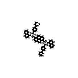 c1cncc(-c2ccc(-c3nc(-c4cccc5ccccc45)nc(-c4ccc5ccc6c(-c7nc(-c8ccc(-c9cccnc9)cc8)nc(-c8cccc9ccccc89)n7)ccc7ccc4c5c76)n3)cc2)c1